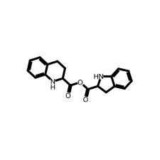 O=C(OC(=O)C1Cc2ccccc2N1)C1CCc2ccccc2N1